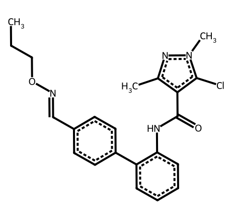 CCCO/N=C/c1ccc(-c2ccccc2NC(=O)c2c(C)nn(C)c2Cl)cc1